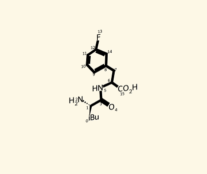 CC[C@H](C)[C@H](N)C(=O)NC(Cc1cccc(F)c1)C(=O)O